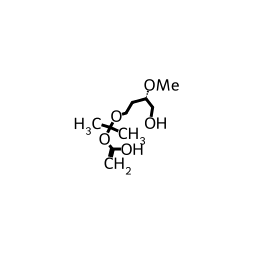 C=C(O)OC(C)(C)OCC[C@@H](CO)OC